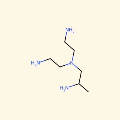 CC(N)CN(CCN)CCN